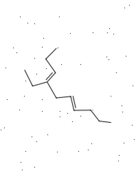 CC[CH]C=CCC(=CCC)CC